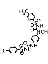 Cc1ccc(S(=O)(=O)NC(=O)Nc2ccc(N(C)C(=O)NS(=O)(=O)c3ccc(C)cc3)cc2)cc1